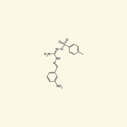 Cc1ccc(S(=O)(=O)ON=C(N)NN=Cc2cccc([N+](=O)[O-])c2)cc1